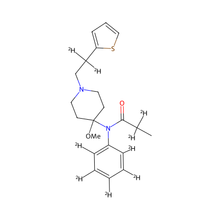 [2H]c1c([2H])c([2H])c(N(C(=O)C([2H])([2H])C)C2(OC)CCN(CC([2H])([2H])c3cccs3)CC2)c([2H])c1[2H]